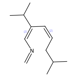 C=N/C=C(\C=C/CC(C)C)C(C)C